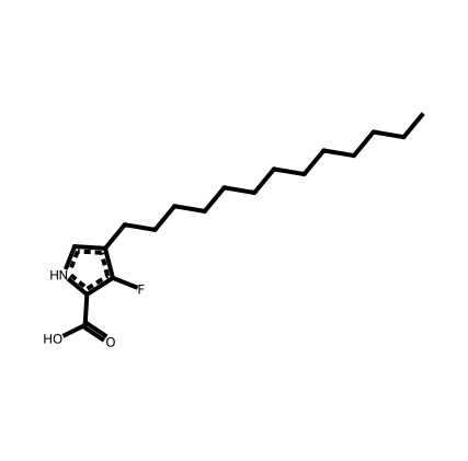 CCCCCCCCCCCCCc1c[nH]c(C(=O)O)c1F